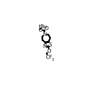 CC(C)(C)OC(=O)N1CCc2nc(OCC(F)(F)F)sc2CC1